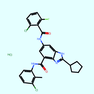 Cc1c(Cl)cccc1NC(=O)c1cc(NC(=O)c2c(F)cccc2Cl)cc2[nH]c(C3CCCC3)nc12.Cl